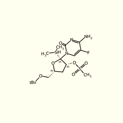 C[SiH](C)[C@@]1(n2cc(F)c(N)nc2=O)O[C@@H](COC(C)(C)C)C[C@H]1OS(C)(=O)=O